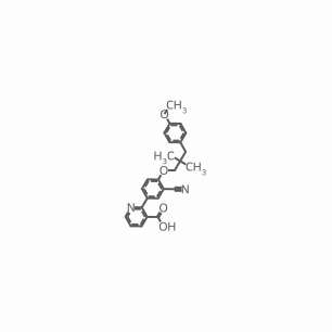 COc1ccc(CC(C)(C)COc2ccc(-c3ncccc3C(=O)O)cc2C#N)cc1